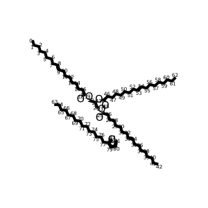 CCCCCCCC/C=C/CCCCCCCC(=O)OCC(COC(=O)CCCCCCC/C=C/CCCCCCCC)OC(=O)CCCCCCC/C=C/CCCCCCCC.CCCCCCCCCCCCCCCc1ccco1